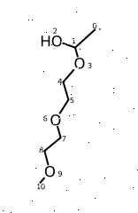 [CH2]C(O)OCCOCCOC